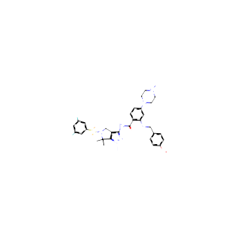 CN1CCN(c2ccc(C(=O)Nc3n[nH]c4c3CN(S(=O)(=O)c3cc(F)cc(F)c3)C4(C)C)c(NCc3ccc(O)cc3)c2)CC1